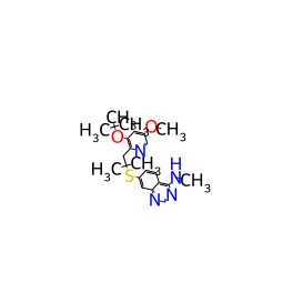 CNc1ncnc2cc(SC(C)(C)Cc3ncc(OC)cc3OC(C)(C)C)ccc12